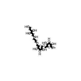 CC(C)C1OC(COC2OC(COCCCNCCC(O)C(O)CCO)C(O)C(O)C2O)C(O)C(O)C1O